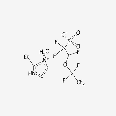 CCc1[nH]cc[n+]1C.O=S(=O)([O-])C(F)(F)C(F)OC(F)(F)C(F)(F)F